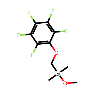 CO[Si](C)(C)COc1c(F)c(F)c(F)c(F)c1F